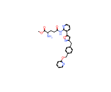 COC(=O)C(N)CCC(=O)Nc1ncccc1-c1cc(Cc2ccc(COc3ccccn3)cc2)no1